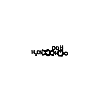 CN1Cc2cc3c(cc2C1)C(=O)N([C@H]1CCC(=O)NC1=O)C3